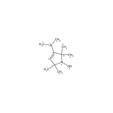 CN(C)C1=CC(C)(C)N(O)C1(C)C